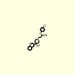 OC(CCN1CCC(O)(c2cnc3ccccc3c2)CC1)Oc1ccc(Cl)cc1